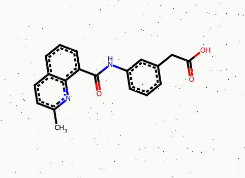 Cc1ccc2cccc(C(=O)Nc3cccc(CC(=O)O)c3)c2n1